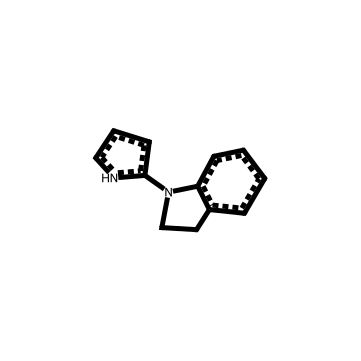 c1c[nH]c(N2CCc3ccccc32)c1